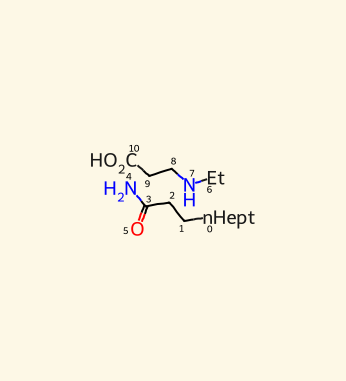 CCCCCCCCCC(N)=O.CCNCCC(=O)O